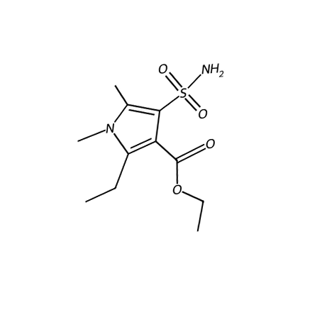 CCOC(=O)c1c(S(N)(=O)=O)c(C)n(C)c1CC